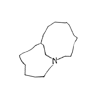 C1CCN2CCCC2C1